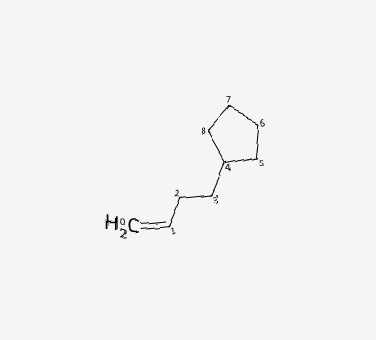 C=CC[CH]C1CCCC1